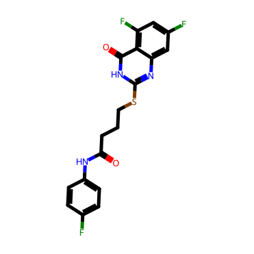 O=C(CCCSc1nc2cc(F)cc(F)c2c(=O)[nH]1)Nc1ccc(F)cc1